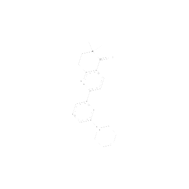 CC1(C)CCc2nc(-c3cccc(N4CCOCC4)c3)ccc2C1=O